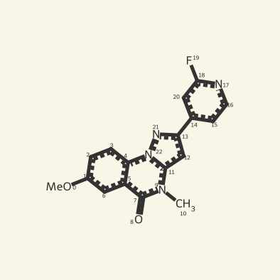 COc1ccc2c(c1)c(=O)n(C)c1cc(-c3ccnc(F)c3)nn21